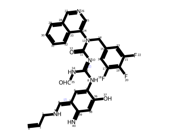 C=CCN/C=C1/C=C(N/C(=N/C(=O)N(Cc2cc(F)c(F)c(F)c2)c2cncc3ccccc23)NC=O)C(O)=CC1=N